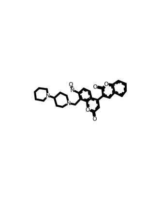 O=Nc1ccc2c(-c3cc4ccccc4oc3=O)cc(=O)oc2c1CN1CCC(N2CCCCC2)CC1